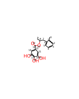 Cc1ccccc1CC(C)OC(=O)c1cc(O)c(O)c(O)c1